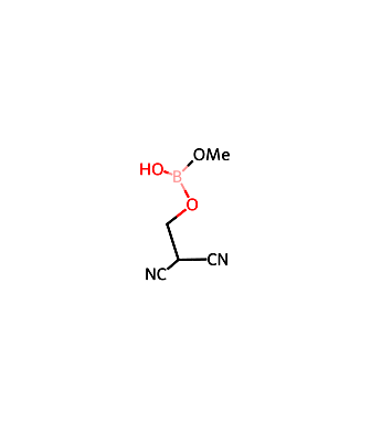 COB(O)OCC(C#N)C#N